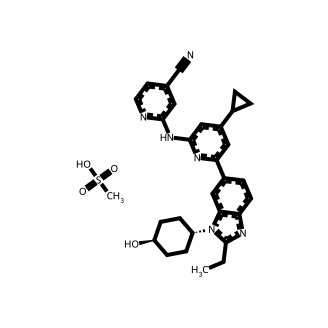 CCc1nc2ccc(-c3cc(C4CC4)cc(Nc4cc(C#N)ccn4)n3)cc2n1[C@H]1CC[C@H](O)CC1.CS(=O)(=O)O